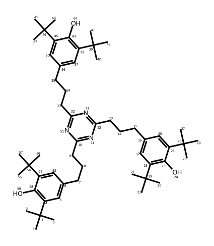 CC(C)(C)c1cc(CCCc2nc(CCCc3cc(C(C)(C)C)c(O)c(C(C)(C)C)c3)nc(CCCc3cc(C(C)(C)C)c(O)c(C(C)(C)C)c3)n2)cc(C(C)(C)C)c1O